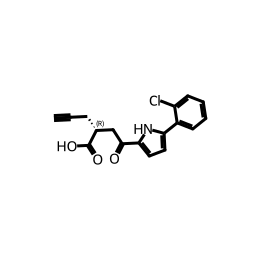 C#CC[C@H](CC(=O)c1ccc(-c2ccccc2Cl)[nH]1)C(=O)O